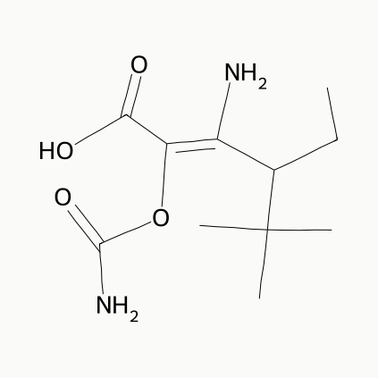 CCC(C(N)=C(OC(N)=O)C(=O)O)C(C)(C)C